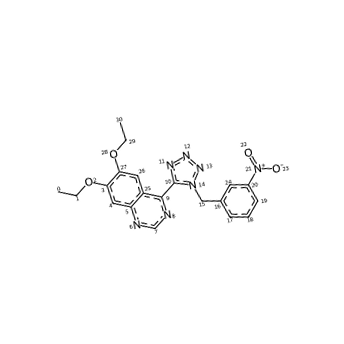 CCOc1cc2ncnc(-c3nnnn3Cc3cccc([N+](=O)[O-])c3)c2cc1OCC